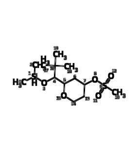 C[SiH](C)OC(C1CC(OS(C)(=O)=O)CCO1)C(C)(C)C